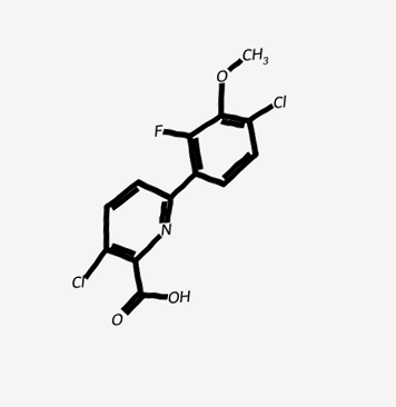 COc1c(Cl)ccc(-c2ccc(Cl)c(C(=O)O)n2)c1F